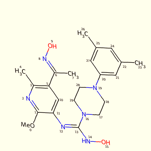 COc1nc(C)c(C(C)=NO)cc1N=C(NO)N1CCN(c2cc(C)cc(C)c2)CC1